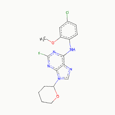 COc1cc(Cl)ccc1Nc1nc(F)nc2c1ncn2C1CCCCO1